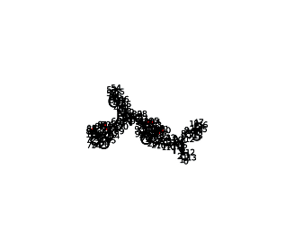 c1ccc(-c2cc(-c3ccc4c(c3)sc3ccccc34)nc(-c3ccc(-c4ccc5c(c4)C4(c6cc(-c7cccc(-c8cc(-c9ccc%10c(c9)oc9ccccc9%10)nc(-c9ccc(-c%10ccc%11c(c%10)C%10(c%12ccccc%12O%11)c%11ccccc%11-c%11ccccc%11%10)cc9)n8)c7)ccc6O5)c5ccccc5-c5ccccc54)cc3)n2)cc1